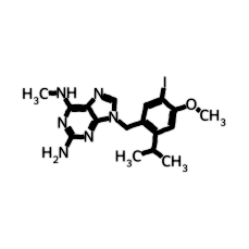 CNc1nc(N)nc2c1ncn2Cc1cc(I)c(OC)cc1C(C)C